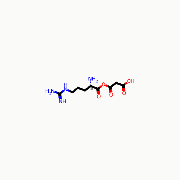 N=C(N)NCCC[C@H](N)C(=O)OC(=O)CC(=O)O